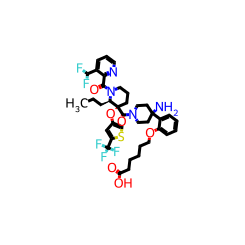 CCC[C@H]1N(C(=O)c2ncccc2C(F)F)CCC[C@@]1(Oc1csc(C(F)(F)F)c1)C(=O)N1CCC(N)(c2ccccc2OCCCCCC(=O)O)CC1